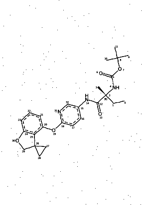 CC[C@@](C)(NC(=O)OC(C)(C)C)C(=O)Nc1ccc(Oc2cccc3c2C2(CC2)CO3)nc1